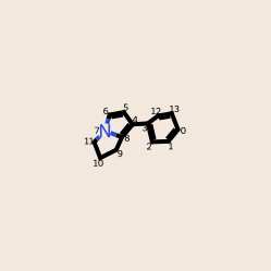 c1ccc(-c2ccn3c2CCC3)cc1